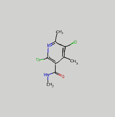 CNC(=O)c1c(Cl)nc(C)c(Cl)c1C